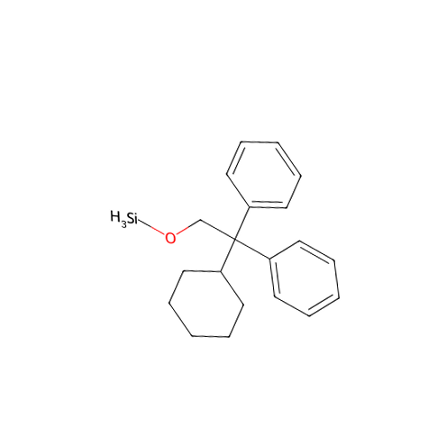 [SiH3]OCC(c1ccccc1)(c1ccccc1)C1CCCCC1